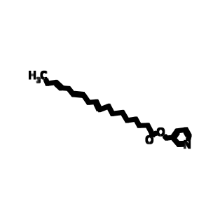 CCC=CCC=CCC=CCCCCCCCC(=O)OCc1cccnc1